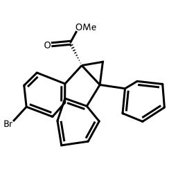 COC(=O)[C@]1(c2ccc(Br)cc2)CC1(c1ccccc1)c1ccccc1